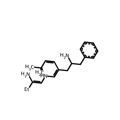 C=C(C)/C=C\C(=C/N/C=C(\N)CC)CC(N)Cc1ccccc1